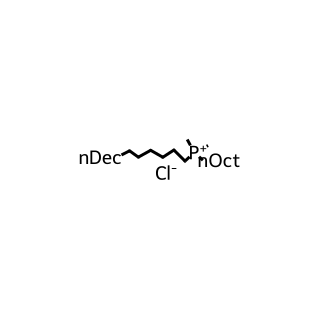 CCCCCCCCCCCCCCCC[P+](C)(C)CCCCCCCC.[Cl-]